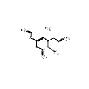 C=CCC(=CC(CN)CC=C)CC=C.O